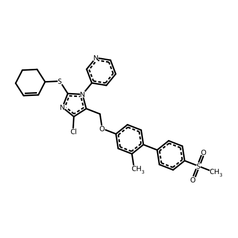 Cc1cc(OCc2c(Cl)nc(SC3C=CCCC3)n2-c2cccnc2)ccc1-c1ccc(S(C)(=O)=O)cc1